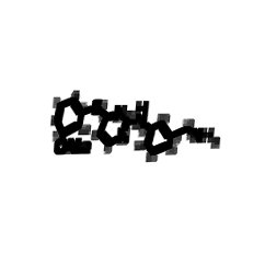 COc1cccc(Sc2ccnc(Nc3cccc(CN)c3)n2)c1